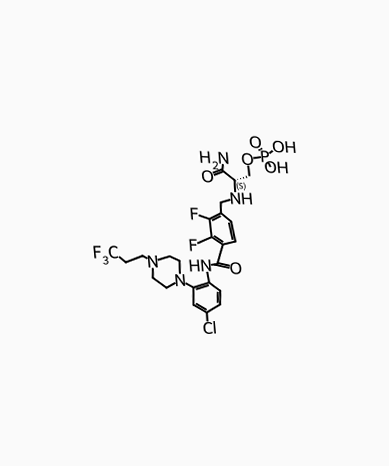 NC(=O)[C@H](COP(=O)(O)O)NCc1ccc(C(=O)Nc2ccc(Cl)cc2N2CCN(CCC(F)(F)F)CC2)c(F)c1F